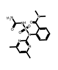 Cc1cc(C)nc(N(c2ccccc2C(=O)N(C)C)S(=O)(=O)NC(N)=O)n1